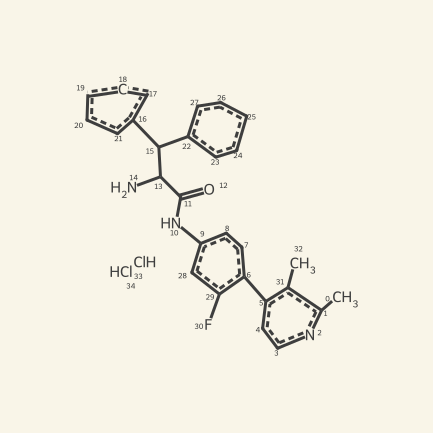 Cc1nccc(-c2ccc(NC(=O)C(N)C(c3ccccc3)c3ccccc3)cc2F)c1C.Cl.Cl